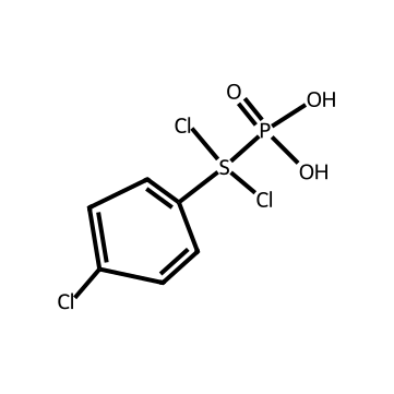 O=P(O)(O)S(Cl)(Cl)c1ccc(Cl)cc1